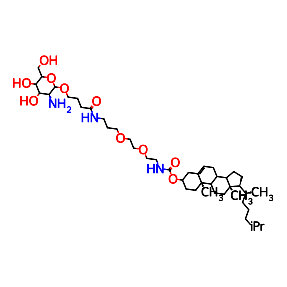 CC(C)CCC[C@H](C)[C@@H]1CCC2C3CC=C4CC(OC(=O)NCCOCCOCCCNC(=O)CCCOC5OC(CO)C(O)C(O)[C@@H]5N)CC[C@@]4(C)C3CC[C@]21C